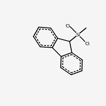 C[Si](Cl)(Cl)C1c2ccccc2-c2ccccc21